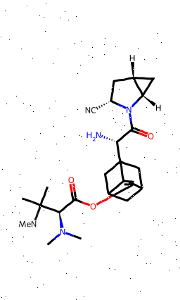 CNC(C)(C)[C@@H](C(=O)OC1=C2C3CC(C1)CC2([C@H](N)C(=O)N1[C@H](C#N)C[C@@H]2C[C@@H]21)C3)N(C)C